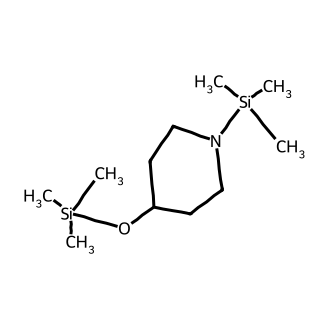 C[Si](C)(C)OC1CCN([Si](C)(C)C)CC1